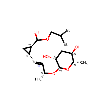 CCC(CC)COC(O)[C@@H]1C[C@H]1/C=C/[C@@H](C)O[C@@H]1O[C@@H](C)[C@H](O)C[C@H]1O